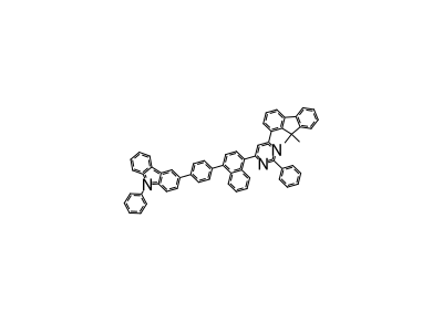 CC1(C)c2ccccc2-c2cccc(-c3cc(-c4ccc(-c5ccc(-c6ccc7c(c6)c6ccccc6n7-c6ccccc6)cc5)c5ccccc45)nc(-c4ccccc4)n3)c21